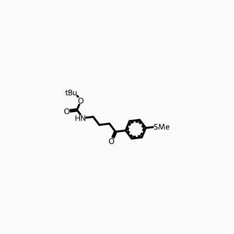 CSc1ccc(C(=O)CCCNC(=O)OC(C)(C)C)cc1